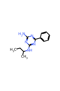 CCC(C)Nc1nc(N)nc(-c2ccccc2)n1